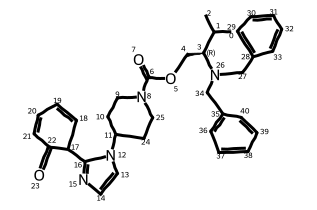 CC(C)[C@H](COC(=O)N1CCC(n2ccnc2C2C=CC=CC2=O)CC1)N(Cc1ccccc1)Cc1ccccc1